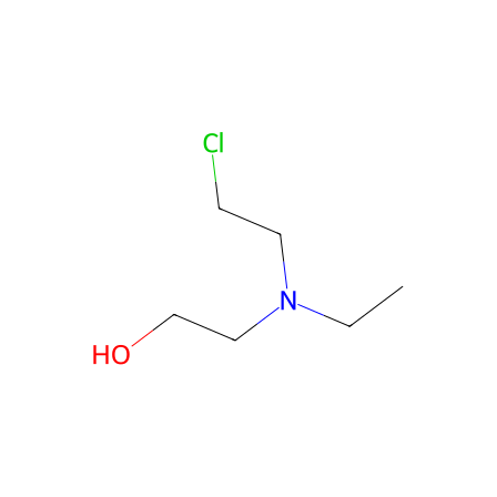 CCN(CCO)CCCl